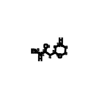 CCNC(=O)CC1CNCCO1